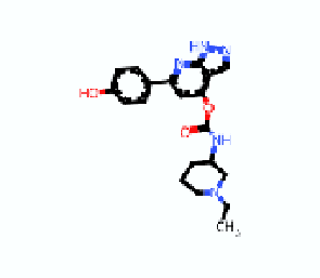 CCN1CCCC(NC(=O)Oc2cc(-c3ccc(O)cc3)nc3[nH]ncc23)C1